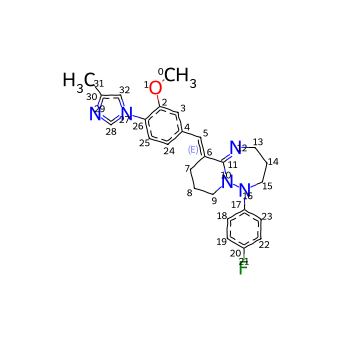 COc1cc(/C=C2\CCCN3C2=NCCCN3c2ccc(F)cc2)ccc1-n1cnc(C)c1